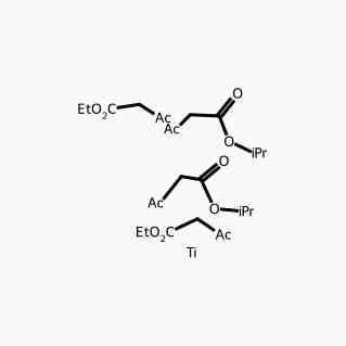 CC(=O)CC(=O)OC(C)C.CC(=O)CC(=O)OC(C)C.CCOC(=O)CC(C)=O.CCOC(=O)CC(C)=O.[Ti]